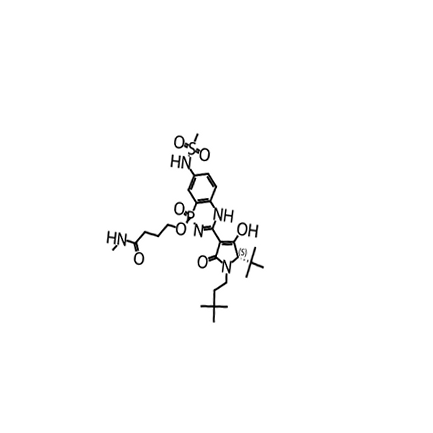 CNC(=O)CCCOP1(=O)N=C(C2=C(O)[C@H](C(C)(C)C)N(CCC(C)(C)C)C2=O)Nc2ccc(NS(C)(=O)=O)cc21